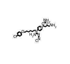 N#CN=C(N)N(CCCCCCOc1ccc(Cl)cc1)c1cc[n+](C(CCCN)OC(N)=O)cc1.[Cl-]